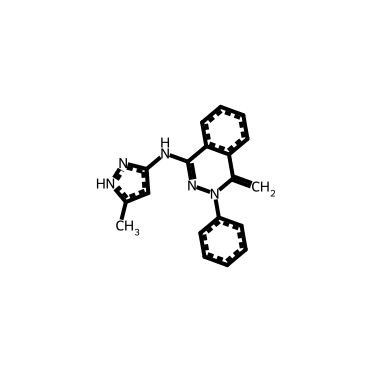 C=C1c2ccccc2C(Nc2cc(C)[nH]n2)=NN1c1ccccc1